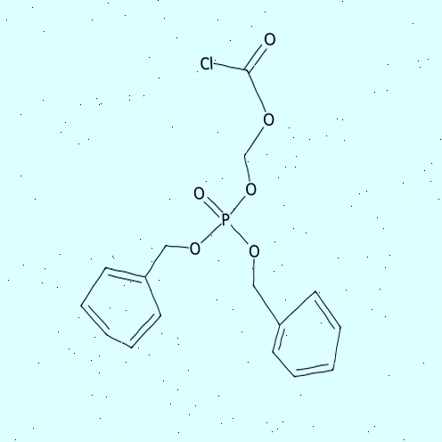 O=C(Cl)OCOP(=O)(OCc1ccccc1)OCc1ccccc1